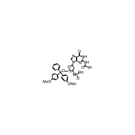 COc1ccc(C(OC[C@H]2O[C@@H](n3cnc4c(=O)[nH]c(NC(=O)C(C)C)nc43)C[C@H]2O[PH](=O)O)(c2ccccc2)c2ccc(OC)cc2)cc1